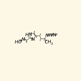 CC(CCc1c[nH]c(C=NO)n1)N=[N+]=[N-]